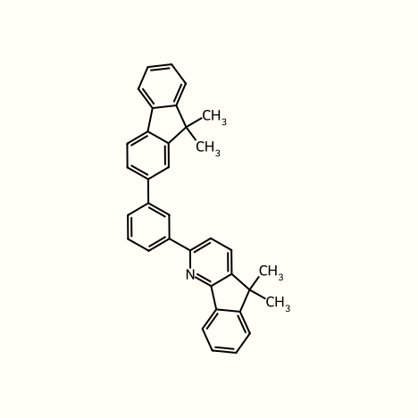 CC1(C)c2ccccc2-c2ccc(-c3cccc(-c4ccc5c(n4)-c4ccccc4C5(C)C)c3)cc21